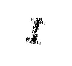 CC(C)(C#N)Nc1ccc(CCCC(=O)N2CCC(O[Si](C)(C)C(C)(C)C)CC2)c(F)c1